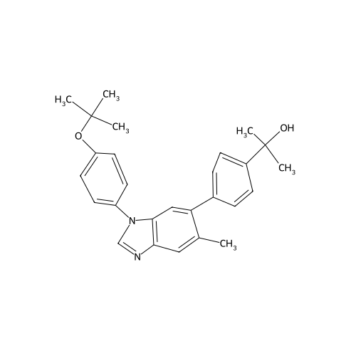 Cc1cc2ncn(-c3ccc(OC(C)(C)C)cc3)c2cc1-c1ccc(C(C)(C)O)cc1